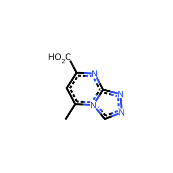 Cc1cc(C(=O)O)nc2nncn12